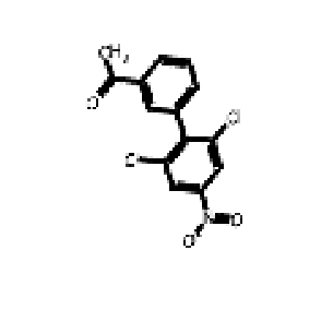 CC(=O)c1cccc(-c2c(Cl)cc([N+](=O)[O-])cc2Cl)c1